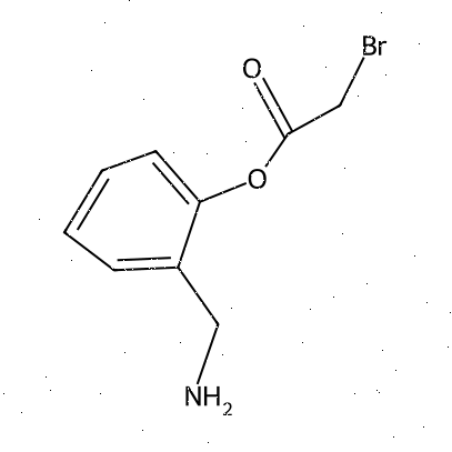 NCc1ccccc1OC(=O)CBr